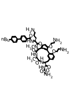 CCCCc1ccc(-c2ccc(C(=O)N[C@@H](CCCN)C(=O)N(C)[C@@H]3C(=O)N[C@@H](C)C(=O)N[C@H](C(=O)NS(N)(=O)=O)Cc4ccc(OCCN)c(c4)-c4cc3ccc4OCCN)cc2)cc1